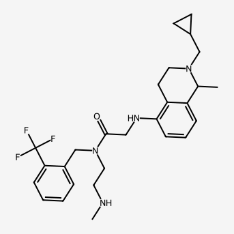 CNCCN(Cc1ccccc1C(F)(F)F)C(=O)CNc1cccc2c1CCN(CC1CC1)C2C